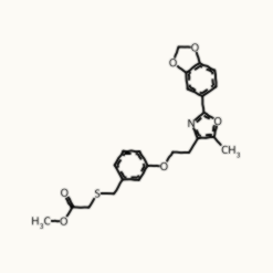 COC(=O)CSCc1cccc(OCCc2nc(-c3ccc4c(c3)OCO4)oc2C)c1